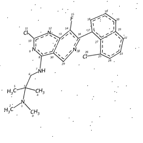 CN(C)C(C)(C)CNc1nc(Cl)nc2c(F)c(-c3cccc4cccc(Cl)c34)ncc12